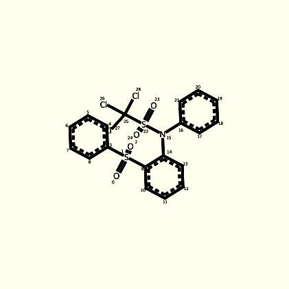 O=S(=O)(c1ccccc1)c1ccccc1N(c1ccccc1)S(=O)(=O)C(Cl)(Cl)Cl